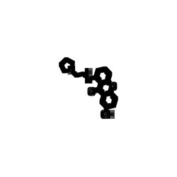 O=c1c2cc(O)ccc2oc2cccc(NCCN3CCCC3)c12